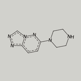 c1cc2nncn2nc1N1CCNCC1